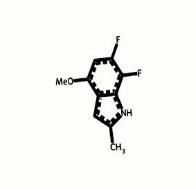 COc1cc(F)c(F)c2[nH]c(C)cc12